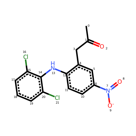 CC(=O)Cc1cc([N+](=O)[O-])ccc1Nc1c(Cl)cccc1Cl